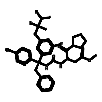 COC(=O)CN(NC(=O)N[C@@](Cc1ccccc1)(c1cc(F)cc(OC(F)(F)C(F)F)c1)c1ccc(Cl)cn1)C(=O)C1CCCC1